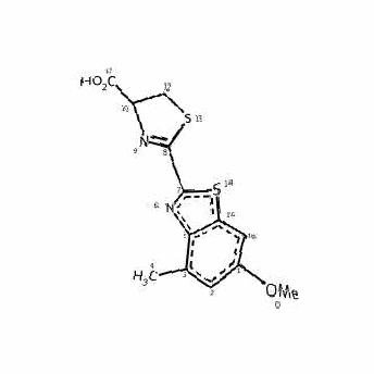 COc1cc(C)c2nc(C3=NC(C(=O)O)CS3)sc2c1